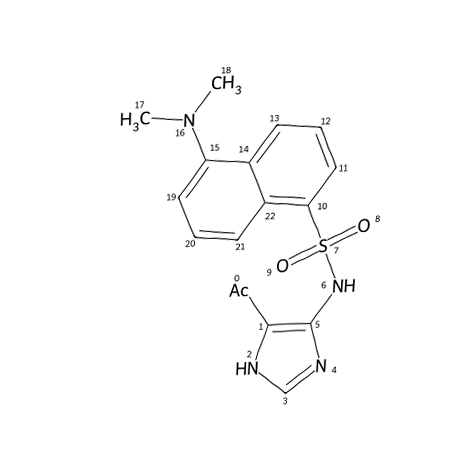 CC(=O)c1[nH]cnc1NS(=O)(=O)c1cccc2c(N(C)C)cccc12